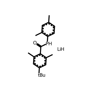 Cc1ccc(PC(=O)c2c(C)cc(C(C)(C)C)cc2C)c(C)c1.[LiH]